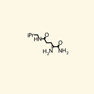 CC(C)CNC(=O)CC[C@H](N)C(N)=O